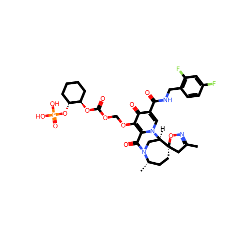 CC1=NO[C@@]2(CC[C@H](C)N3C[C@H]2n2cc(C(=O)NCc4ccc(F)cc4F)c(=O)c(OCOC(=O)O[C@@H]4CCCC[C@H]4OP(=O)(O)O)c2C3=O)C1